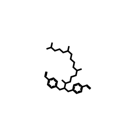 C=Cc1ccc(CC(Cc2ccc(C=C)cc2)C(C)CCCC(C)CCCCC(C)CCCC(C)C)cc1